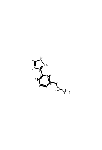 COCc1ccnc(-c2ncsn2)n1